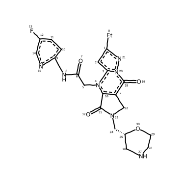 CCc1cc2n(CC(=O)Nc3ccc(F)cn3)c3c(c(=O)n2n1)CN(C[C@H]1CNCCO1)C3=O